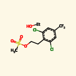 CCO.CS(=O)(=O)OCCc1c(Cl)cc(C(F)(F)F)cc1Cl